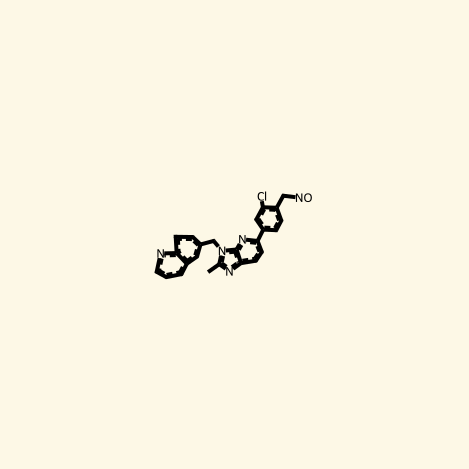 Cc1nc2ccc(-c3ccc(CN=O)c(Cl)c3)nc2n1Cc1ccc2ncccc2c1